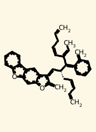 C=C/C=C\C[C@H](/C=c1\c(=C)oc2cc3oc4ccccc4c3cc12)C(C(/C=C\CC=C)=C/C)=c1ccccc1=C